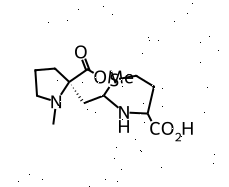 COC(=O)[C@]1(CC2NC(C(=O)O)CCS2)CCCN1C